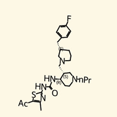 CCCN1CC[C@@H](NC(=O)Nc2nc(C)c(C(C)=O)s2)[C@H](CN2CCC[C@@H](Cc3ccc(F)cc3)C2)C1